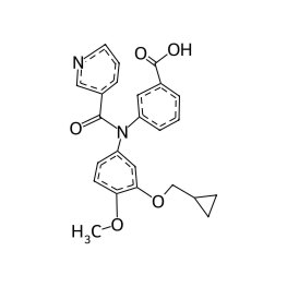 COc1ccc(N(C(=O)c2cccnc2)c2cccc(C(=O)O)c2)cc1OCC1CC1